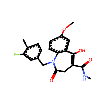 CNC(=O)C1=C(O)c2cc(OC)ccc2N(Cc2ccc(C)c(F)c2)C(=O)C1